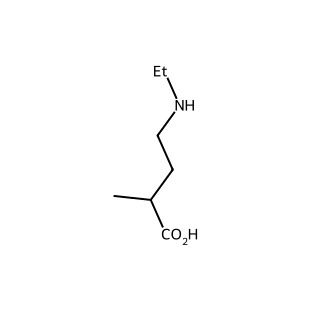 CCNCCC(C)C(=O)O